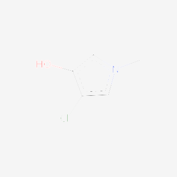 Cn1cc(O)c(Cl)c1